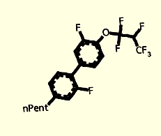 CCCCCc1ccc(-c2ccc(OC(F)(F)C(F)C(F)(F)F)c(F)c2)c(F)c1